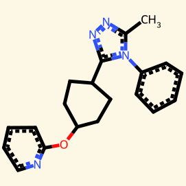 Cc1nnc(C2CCC(Oc3ccccn3)CC2)n1-c1ccccc1